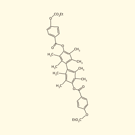 CCOC(=O)Oc1ccc(C(=O)Oc2c(C)c(C)c(-c3c(C)c(C)c(OC(=O)c4ccc(OC(=O)OCC)cc4)c(C)c3C)c(C)c2C)cc1